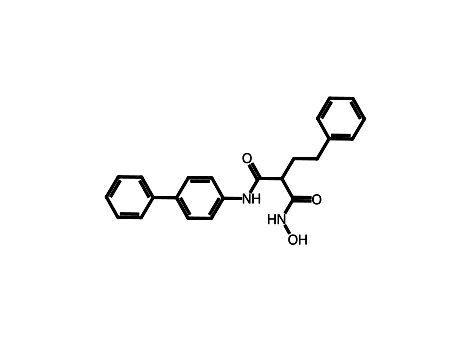 O=C(NO)C(CCc1ccccc1)C(=O)Nc1ccc(-c2ccccc2)cc1